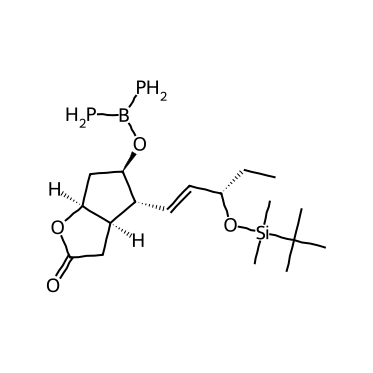 CC[C@@H](/C=C/[C@@H]1[C@H]2CC(=O)O[C@H]2C[C@H]1OB(P)P)O[Si](C)(C)C(C)(C)C